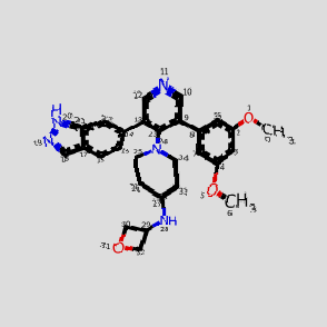 COc1cc(OC)cc(-c2cncc(-c3ccc4cn[nH]c4c3)c2N2CCC(NC3COC3)CC2)c1